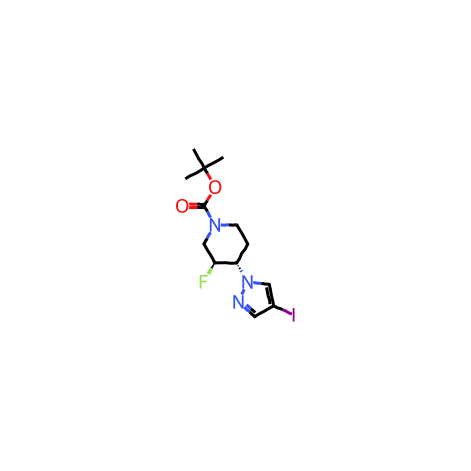 CC(C)(C)OC(=O)N1CC[C@H](n2cc(I)cn2)[C@@H](F)C1